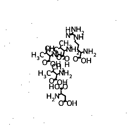 CC(C)C(N)C(=O)O.CC(C)C(N)C(=O)O.CC(C)C(N)C(=O)O.N=C(N)NCCCC(N)C(=O)O.NC(CC(=O)O)C(=O)O